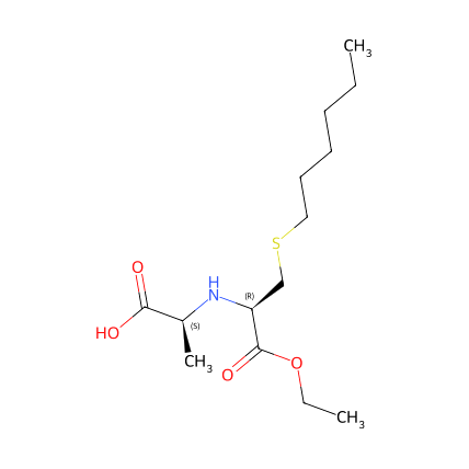 CCCCCCSC[C@H](N[C@@H](C)C(=O)O)C(=O)OCC